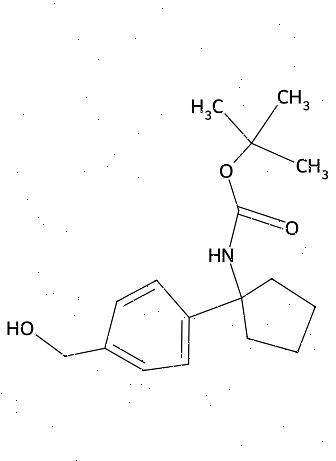 CC(C)(C)OC(=O)NC1(c2ccc(CO)cc2)CCCC1